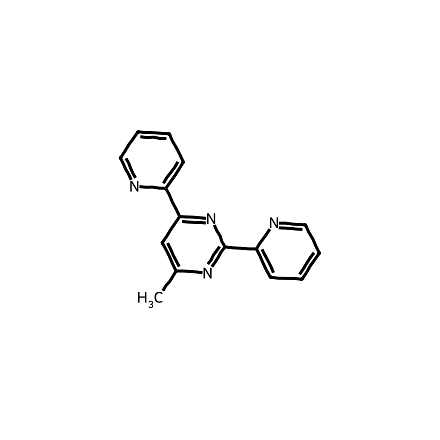 Cc1cc(-c2ccccn2)nc(-c2ccccn2)n1